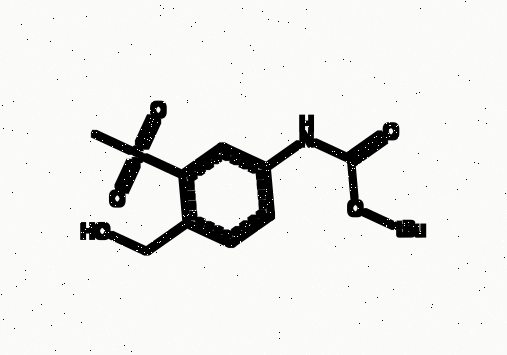 CC(C)(C)OC(=O)Nc1ccc(CO)c(S(C)(=O)=O)c1